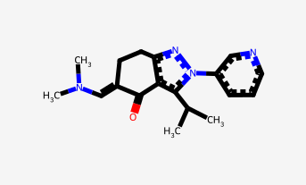 CC(C)c1c2c(nn1-c1cccnc1)CC/C(=C\N(C)C)C2=O